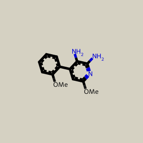 COc1cc(-c2ccccc2OC)c(N)c(N)n1